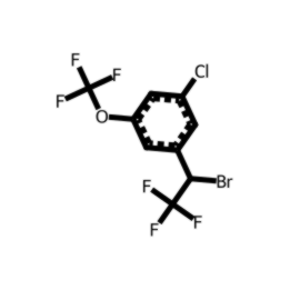 FC(F)(F)Oc1cc(Cl)cc(C(Br)C(F)(F)F)c1